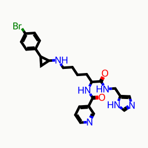 O=C(NC(CCCCNC1CC1c1ccc(Br)cc1)C(=O)NCc1cnc[nH]1)c1cccnc1